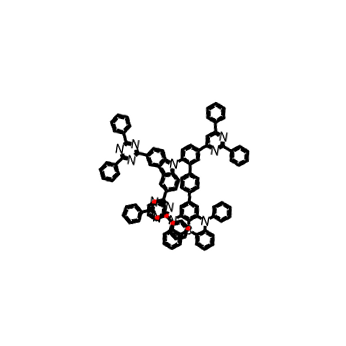 c1ccc(-c2cc(-c3ccc(-n4c5ccc(-c6nc(-c7ccccc7)nc(-c7ccccc7)n6)cc5c5cc(-c6nc(-c7ccccc7)nc(-c7ccccc7)n6)ccc54)c(-c4ccc(-c5cc6c7c(c5)N(c5ccccc5)c5ccccc5B7c5ccccc5N6c5ccccc5)cc4)c3)nc(-c3ccccc3)n2)cc1